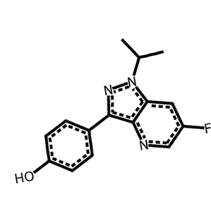 CC(C)n1nc(-c2ccc(O)cc2)c2ncc(F)cc21